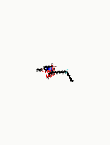 CCCCCCCC(F)(F)CCCCCCC=CC(C(=O)N[C@@H](Cc1ccc(OCCCC)cc1)C(=O)OC)[C@@](O)(CCOC)C(=O)O